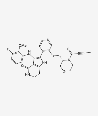 CC#CC(=O)N1CCOC[C@@H]1COc1cnccc1-c1[nH]c2c(c1Nc1cccc(F)c1OC)C(=O)NCC2